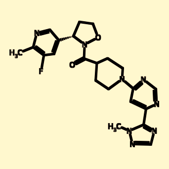 Cc1ncc([C@@H]2CCON2C(=O)C2CCN(c3cc(-c4ncnn4C)ncn3)CC2)cc1F